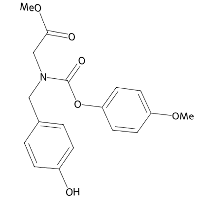 COC(=O)CN(Cc1ccc(O)cc1)C(=O)Oc1ccc(OC)cc1